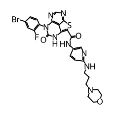 O=C(Nc1ccc(NCCCN2CCOCC2)nc1)c1sc2ncnc3c2c1NC(=O)N3c1ccc(Br)cc1F